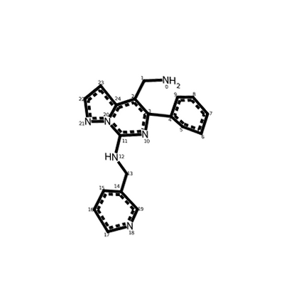 NCc1c(-c2ccccc2)nc(NCc2cccnc2)n2nccc12